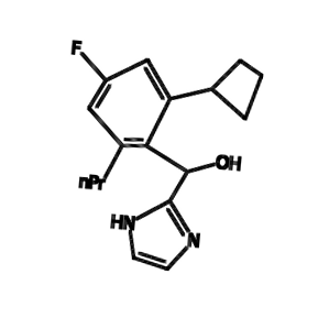 CCCc1cc(F)cc(C2CCC2)c1C(O)c1ncc[nH]1